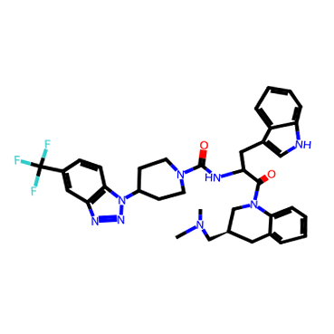 CN(C)C[C@@H]1Cc2ccccc2N(C(=O)C(Cc2c[nH]c3ccccc23)NC(=O)N2CCC(n3nnc4cc(C(F)(F)F)ccc43)CC2)C1